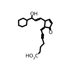 O=C(O)CCCC#CC=C1C(=O)C=CC1C=CC(O)C1CCCCC1